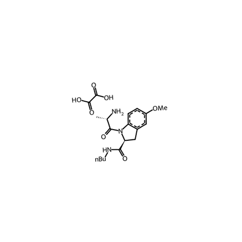 CCCCNC(=O)[C@@H]1Cc2cc(OC)ccc2N1C(=O)[C@H](C)N.O=C(O)C(=O)O